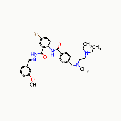 CCN(CC)CCN(C)Cc1ccc(C(=O)Nc2ccc(Br)cc2C(=O)N/N=C/c2cccc(OC)c2)cc1